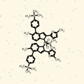 Cc1ccc(C2=Cc3c(ccc(C)c3-c3ccc([Si](C)(C)C)cc3)[CH]2[Zr]([Cl])([Cl])([CH]2C(c3ccc(C)o3)=Cc3c2ccc(C)c3-c2ccc([Si](C)(C)C)cc2)=[Si](C)C)o1